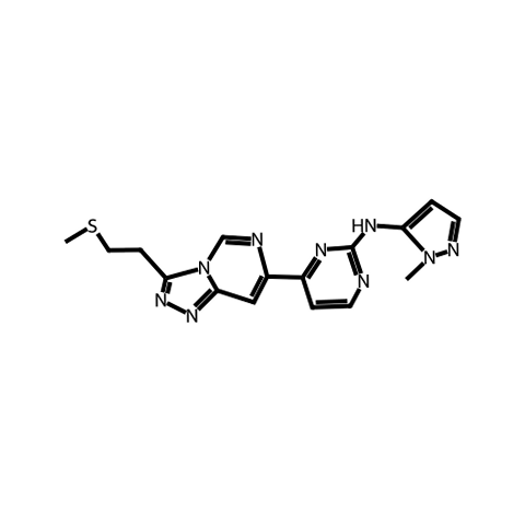 CSCCc1nnc2cc(-c3ccnc(Nc4ccnn4C)n3)ncn12